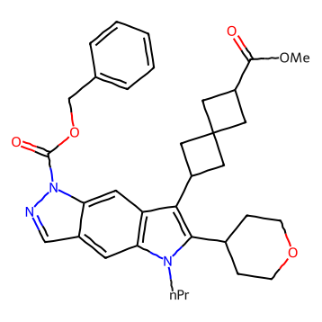 CCCn1c(C2CCOCC2)c(C2CC3(CC(C(=O)OC)C3)C2)c2cc3c(cnn3C(=O)OCc3ccccc3)cc21